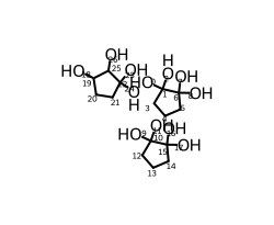 OC1(O)CCCC1(O)O.OC1(O)CCCC1(O)O.OC1CCC(O)(O)C1O